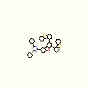 c1ccc(-c2nc(-c3ccccc3)nc(-c3ccc4oc5c(-c6cccc7sc8ccccc8c67)cc(-c6cccc7sc8ccccc8c67)cc5c4c3)n2)cc1